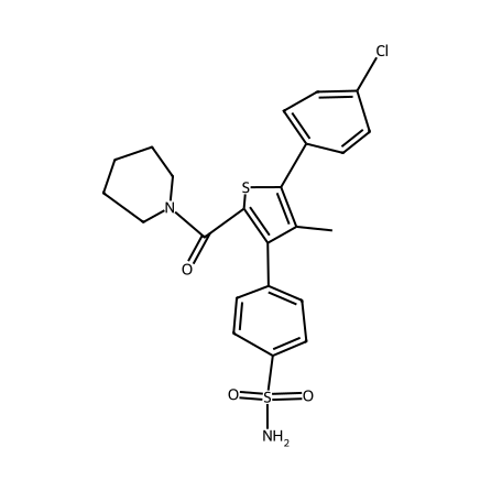 Cc1c(-c2ccc(Cl)cc2)sc(C(=O)N2CCCCC2)c1-c1ccc(S(N)(=O)=O)cc1